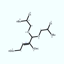 CCCCCCCCCCC/C=C(\CCCCCCCCCC)C(OCC(CC)CCCC)OCC(CC)CCCC